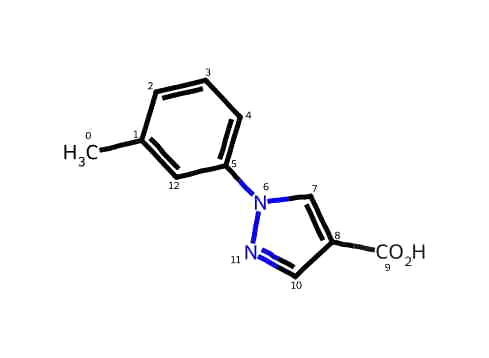 Cc1cccc(-n2cc(C(=O)O)cn2)c1